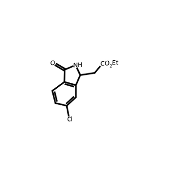 CCOC(=O)CC1NC(=O)c2ccc(Cl)cc21